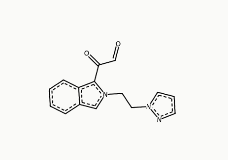 O=CC(=O)c1c2ccccc2cn1CCn1cccn1